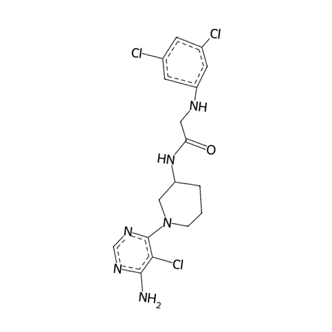 Nc1ncnc(N2CCCC(NC(=O)CNc3cc(Cl)cc(Cl)c3)C2)c1Cl